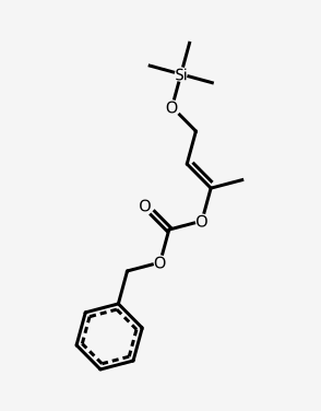 CC(=CCO[Si](C)(C)C)OC(=O)OCc1ccccc1